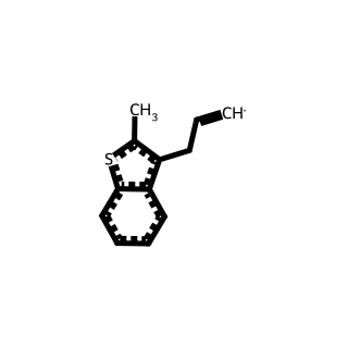 [CH]=CCc1c(C)sc2ccccc12